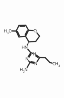 CCCc1nc(N)nc(N[C@@H]2CCOc3ccc(C)cc32)n1